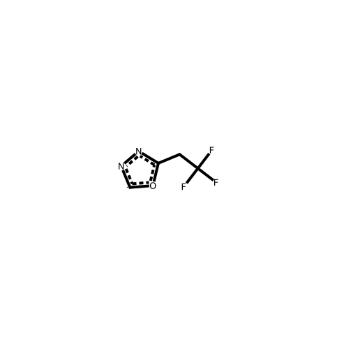 FC(F)(F)Cc1nn[c]o1